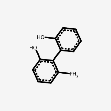 Oc1ccccc1-c1c(O)cccc1P